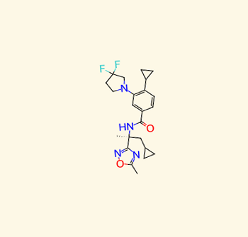 Cc1nc([C@](C)(CC2CC2)NC(=O)c2ccc(C3CC3)c(N3CCC(F)(F)C3)c2)no1